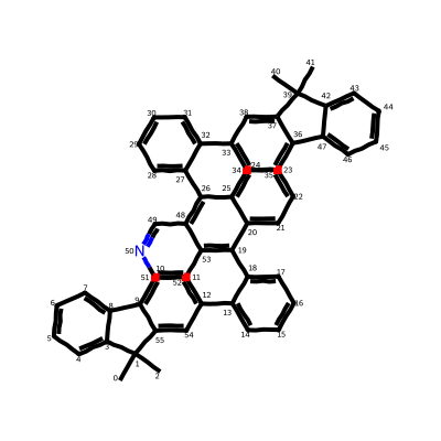 CC1(C)c2ccccc2-c2ccc(-c3ccccc3-c3c4ccccc4c(-c4ccccc4-c4ccc5c(c4)C(C)(C)c4ccccc4-5)c4cnccc34)cc21